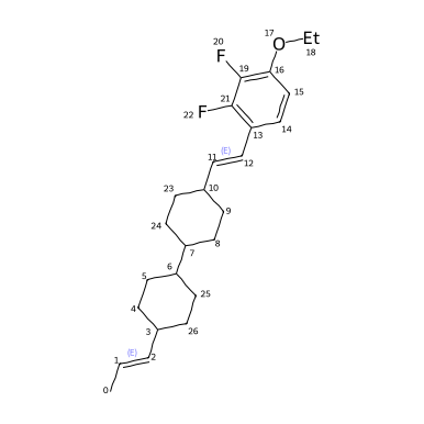 C/C=C/C1CCC(C2CCC(/C=C/c3ccc(OCC)c(F)c3F)CC2)CC1